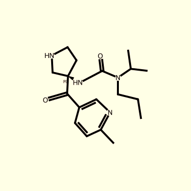 CCCN(C(=O)N[C@]1(C(=O)c2ccc(C)nc2)CCNC1)C(C)C